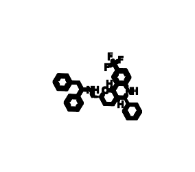 FC(F)(F)c1ccc2c(c1)[C@H]1O[C@@H](CNC(Cc3ccccc3)c3ccccc3)CC[C@H]1[C@H](C1C=CC=CC1)N2